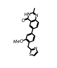 COc1cc(-c2ccc3nc(C)[nH]c(=O)c3c2)ccc1Cc1nccs1